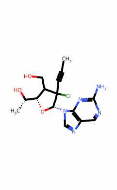 CC#CC1(Cl)C(CO)[C@@H]([C@H](C)O)O[C@H]1n1cnc2cnc(N)nc21